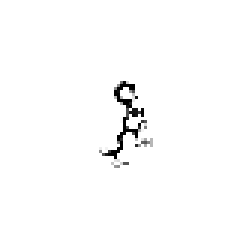 O=C(O)CCC(CNc1ccccn1)C(=O)O